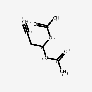 C#CCC(OC(C)=O)OC(C)=O